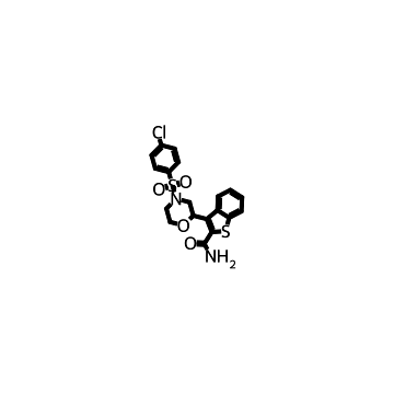 NC(=O)c1sc2ccccc2c1C1CN(S(=O)(=O)c2ccc(Cl)cc2)CCO1